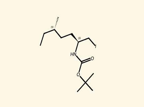 CC[C@H](C)CC[C@@H](CI)NC(=O)OC(C)(C)C